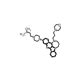 CN(C)CCN1CCN(c2ccc3c4c5c(nc3c2)c2ccccc2n5CCCN4CCCN2CCOCC2)CC1